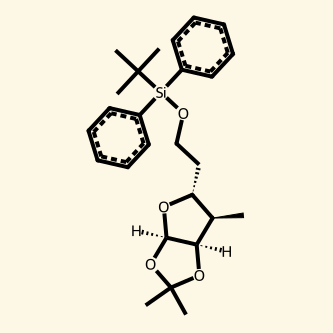 C[C@H]1[C@H]2OC(C)(C)O[C@H]2O[C@@H]1CCO[Si](c1ccccc1)(c1ccccc1)C(C)(C)C